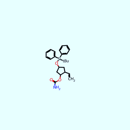 C=CC1CC(O[Si](c2ccccc2)(c2ccccc2)C(C)(C)C)CC1OC(N)=O